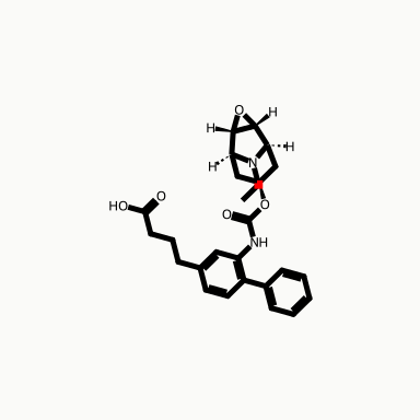 CCN1[C@@H]2C[C@@H](OC(=O)Nc3cc(CCCC(=O)O)ccc3-c3ccccc3)C[C@H]1[C@@H]1O[C@@H]12